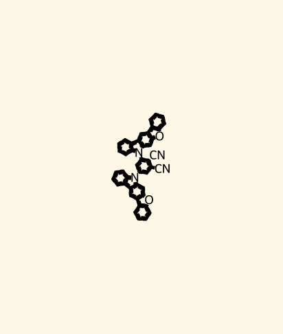 N#Cc1cc(-n2c3ccccc3c3cc4c(cc32)oc2ccccc24)cc(-n2c3ccccc3c3cc4c(cc32)oc2ccccc24)c1C#N